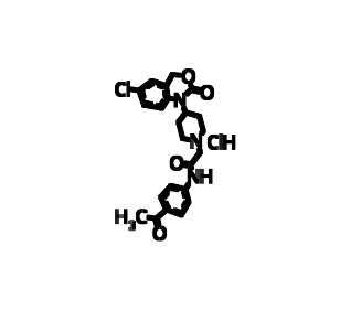 CC(=O)c1ccc(NC(=O)CN2CCC(N3C(=O)OCc4cc(Cl)ccc43)CC2)cc1.Cl